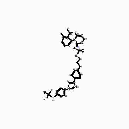 Cc1cccc(N2/C(=N/C(=O)NCCCc3ccc(-c4ncn(-c5ccc(OC(F)(F)F)cc5)n4)cc3)SCCC2C)c1C(C)C